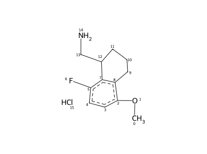 COc1ccc(F)c2c1CCCC2CN.Cl